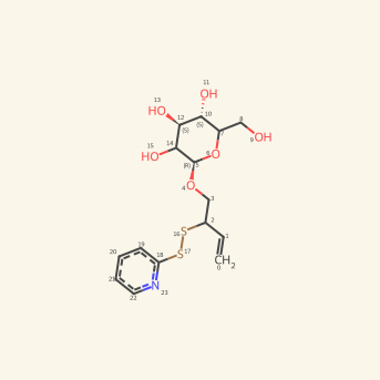 C=CC(CO[C@@H]1OC(CO)[C@@H](O)[C@H](O)C1O)SSc1ccccn1